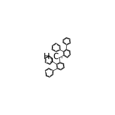 C[C](c1cccc(-c2ccccc2)c1-c1ccccc1)c1cccc(-c2ccccc2)c1-c1ccccc1